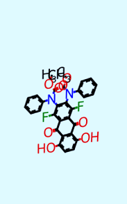 COC(=O)N(c1ccccc1)c1c(F)c2c(c(F)c1N(C(=O)OC)c1ccccc1)C(=O)c1c(O)ccc(O)c1C2=O